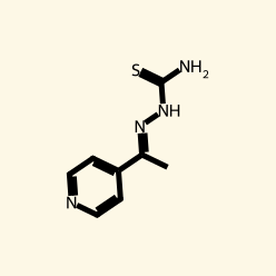 CC(=NNC(N)=S)c1ccncc1